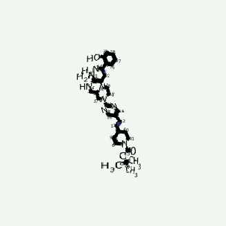 CC(C)(C)OC(=O)N1CCC(/C=C/c2cnc(N3CCN4C(/C=C(\N)c5ccccc5O)=C(N)NCC4C3)nc2)CC1